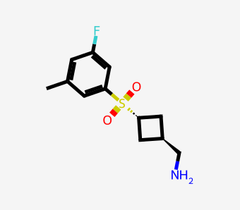 Cc1cc(F)cc(S(=O)(=O)[C@H]2C[C@H](CN)C2)c1